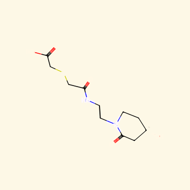 O=C(O)CSCC(=O)NCCN1CC[C@H](O)CC1=O